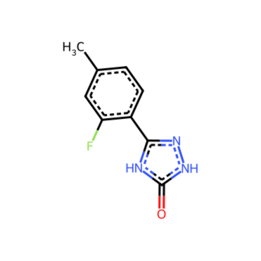 Cc1ccc(-c2n[nH]c(=O)[nH]2)c(F)c1